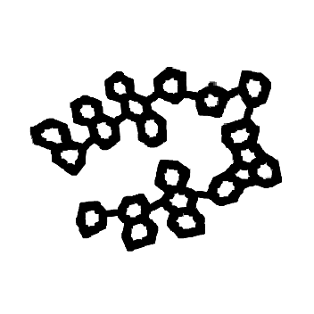 c1ccc(-c2ccc(-c3c4ccccc4c(-c4ccc5c6cccc7c8cc(-c9ccccc9-c9ccc(-c%10cccc(-c%11c%12ccccc%12c(-c%12ccc(-c%13cccc%14ccccc%13%14)c%13ccccc%12%13)c%12ccccc%11%12)c%10)s9)ccc8n(c5c4)c76)c4ccccc34)c3ccccc23)cc1